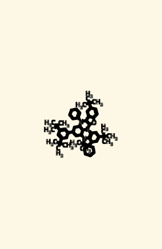 CC(C)(C)C1=CC(C2CC3C4B(C5=C6C(CC(C(C)(C)C)C5)C5(CCCCC5)C(C)(C)N6C4C2)C2OC4C=CC(C(C)(C)C)CC4C2N3C2=CCCCC2)CC(C(C)(C)C)=C1